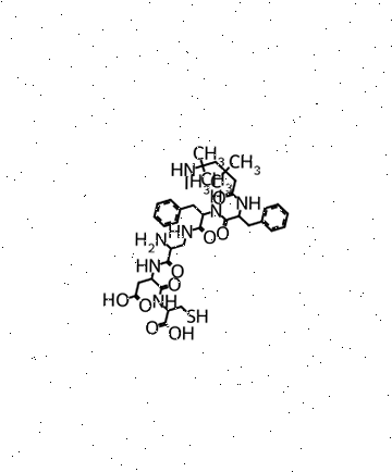 CC(C)(CC(=O)NC(Cc1ccccc1)C(=O)NC(Cc1ccccc1)C(=O)NCC(N)C(=O)NC(CC(=O)O)C(=O)NC(CS)C(=O)O)CC(C)(C)NI